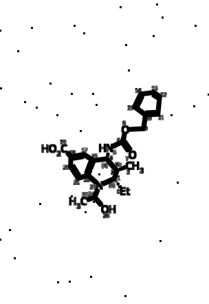 CC[C@H]1[C@H](C)[C@@H](NC(=O)OCc2ccccc2)c2cc(C(=O)O)ccc2N1C(C)O